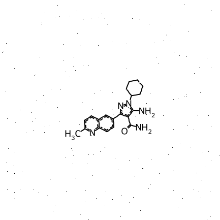 Cc1ccc2cc(-c3nn(C4CCCCC4)c(N)c3C(N)=O)ccc2n1